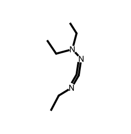 CCN=C=NN(CC)CC